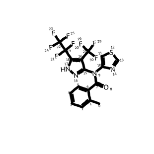 Cc1ccccc1C(=O)N(c1cscn1)c1n[nH]c(C(F)(F)C(F)(F)F)c1C(F)(F)F